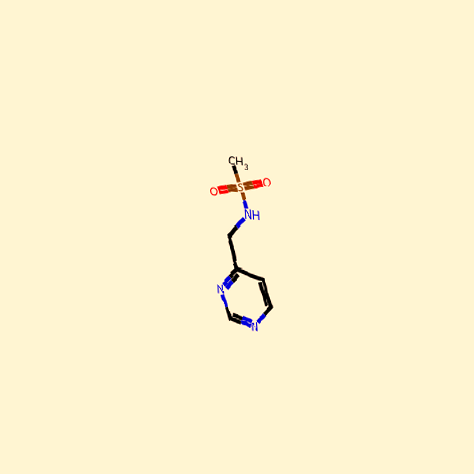 CS(=O)(=O)NCc1ccncn1